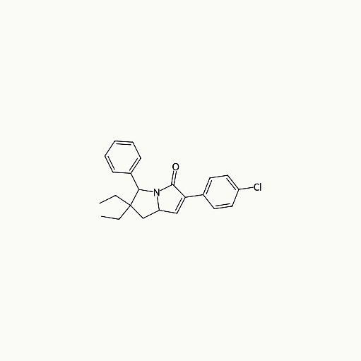 CCC1(CC)CC2C=C(c3ccc(Cl)cc3)C(=O)N2C1c1ccccc1